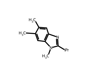 Cc1cc2nc(C(C)C)n(C)c2cc1C